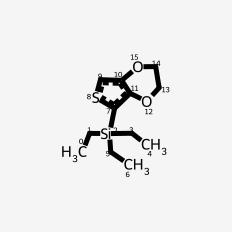 CC[Si](CC)(CC)c1scc2c1OCCO2